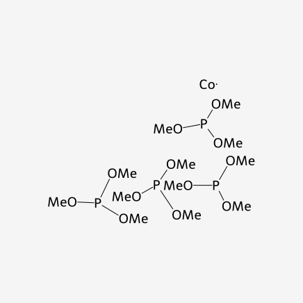 COP(OC)OC.COP(OC)OC.COP(OC)OC.COP(OC)OC.[Co]